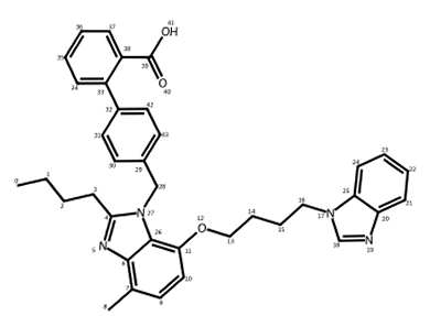 CCCCc1nc2c(C)ccc(OCCCCn3cnc4ccccc43)c2n1Cc1ccc(-c2ccccc2C(=O)O)cc1